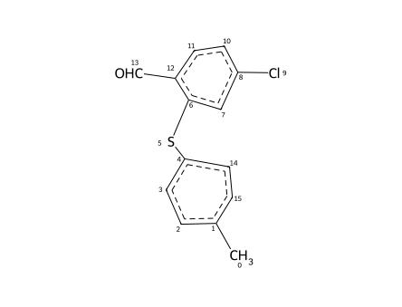 Cc1ccc(Sc2cc(Cl)ccc2C=O)cc1